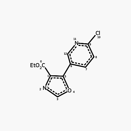 CCOC(=O)c1ncoc1-c1ccc(Cl)nc1